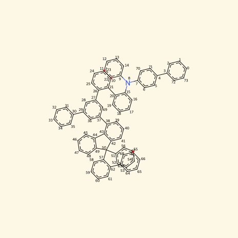 c1ccc(-c2ccc(N(c3ccccc3)c3ccccc3-c3ccccc3-c3cc(-c4ccccc4)cc(-c4cccc5c4-c4ccccc4C5(c4ccccc4)c4ccccc4-c4ccccc4)c3)cc2)cc1